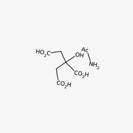 CC(N)=O.O=C(O)CC(O)(CC(=O)O)C(=O)O